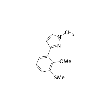 COc1c(SC)cccc1-c1ccn(C)n1